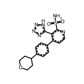 NS(=O)(=O)c1nccc(-c2ccc(C3CCOCC3)cc2)c1-c1nnn[nH]1